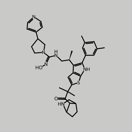 Cc1cc(C)cc(-c2[nH]c3sc(C(C)(C)C(=O)C4C5CCC4NC5)cc3c2[C@H](C)CNC(=NO)N2CCC(c3ccncc3)C2)c1